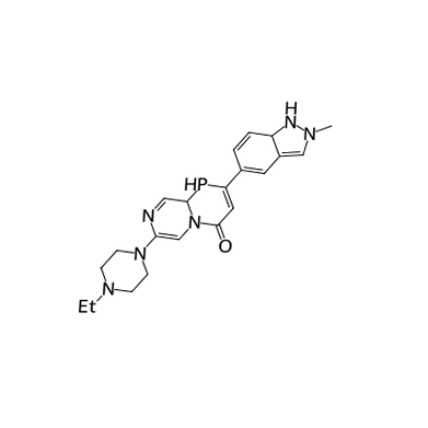 CCN1CCN(C2=CN3C(=O)C=C(C4=CC5=CN(C)NC5C=C4)PC3C=N2)CC1